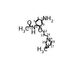 CC(=O)Nc1ccc(N)cc1OCCC[n+]1ccn(C)c1